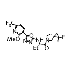 CC[C@H](Nc1nnc(-c2ccc(C(F)(F)F)nc2OC)o1)C(=O)N1CC[C@]2(C1)CC2(F)F